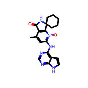 Cc1cc(Nc2ncnc3[nH]ccc23)[n+]([O-])c2c1C(=O)NC21CCCCC1